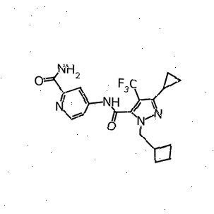 NC(=O)c1cc(NC(=O)c2c(C(F)(F)F)c(C3CC3)nn2CC2CCC2)ccn1